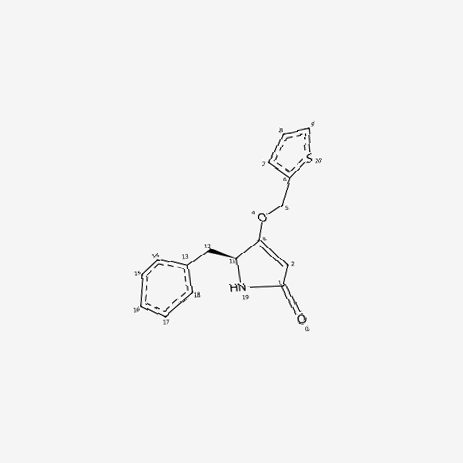 O=C1C=C(OCc2cccs2)[C@H](Cc2ccccc2)N1